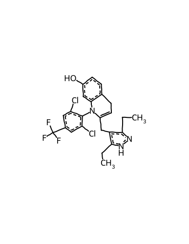 CCc1n[nH]c(CC)c1CC1=CCc2ccc(O)cc2N1c1c(Cl)cc(C(F)(F)F)cc1Cl